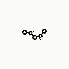 Cn1cc(-c2ccccc2)cc1-c1cccc(-c2cc(-c3ccccc3)cn2C)c1